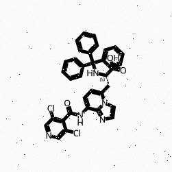 O=C(Nc1ccc(C[C@H](NC(c2ccccc2)(c2ccccc2)c2ccccc2)C(=O)O)n2ccnc12)c1c(Cl)cncc1Cl